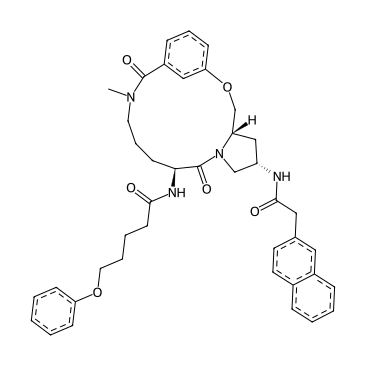 CN1CCC[C@H](NC(=O)CCCCOc2ccccc2)C(=O)N2C[C@@H](NC(=O)Cc3ccc4ccccc4c3)C[C@H]2COc2cccc(c2)C1=O